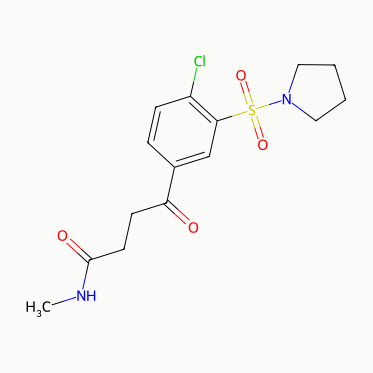 CNC(=O)CCC(=O)c1ccc(Cl)c(S(=O)(=O)N2CCCC2)c1